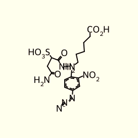 NC(=O)CC(C(N)=O)S(=O)(=O)O.[N-]=[N+]=Nc1ccc(NCCCCCC(=O)O)c([N+](=O)[O-])c1